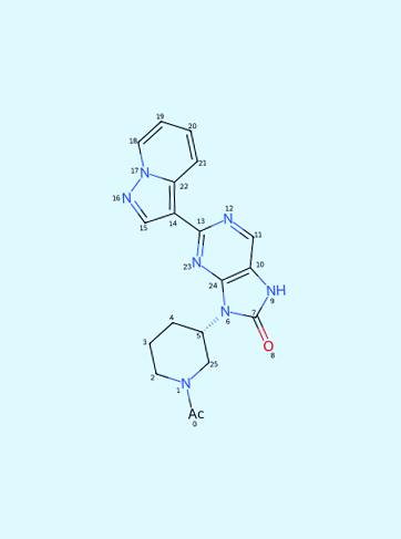 CC(=O)N1CCC[C@H](n2c(=O)[nH]c3cnc(-c4cnn5ccccc45)nc32)C1